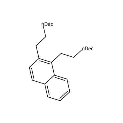 CCCCCCCCCCCCc1ccc2ccccc2c1CCCCCCCCCCCC